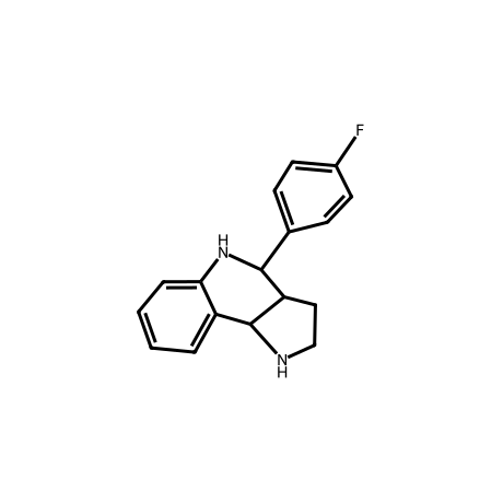 Fc1ccc(C2Nc3ccccc3C3NCCC23)cc1